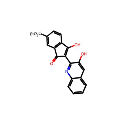 CCOC(=O)c1ccc2c(c1)C(=O)C(c1nc3ccccc3cc1O)=C2O